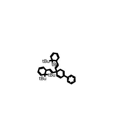 CC(C)(C)C1(C(C)(C)C)C=CC=CC1C=CC1(C=CC2C=CC=CC2(C(C)(C)C)C(C)(C)C)C=CC(c2ccccc2)=CC1